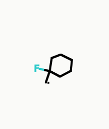 [CH2]C1(F)CCCCC1